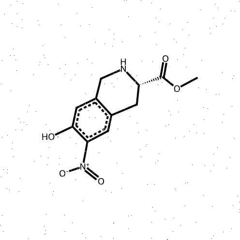 COC(=O)[C@@H]1Cc2cc([N+](=O)[O-])c(O)cc2CN1